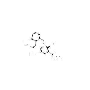 CNC(=O)c1cc(C)cn(Cc2cccc(C)c2/C=C\C(C)C)c1=O